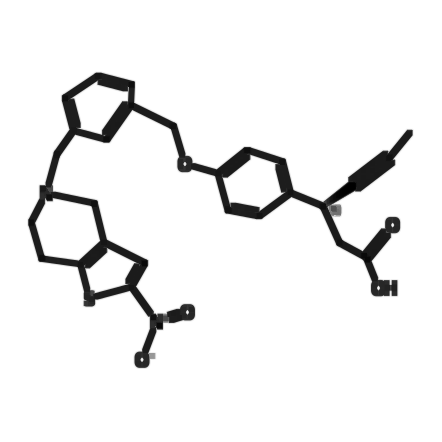 CC#C[C@@H](CC(=O)O)c1ccc(OCc2cccc(CN3CCc4sc([N+](=O)[O-])cc4C3)c2)cc1